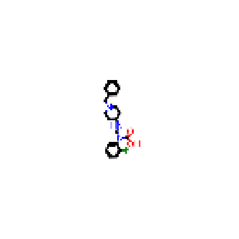 O=C(O)N(CNC1CCN(Cc2ccccc2)CC1)c1ccccc1F